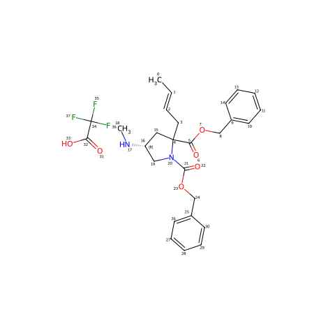 CC=CCC1(C(=O)OCc2ccccc2)C[C@@H](NC)CN1C(=O)OCc1ccccc1.O=C(O)C(F)(F)F